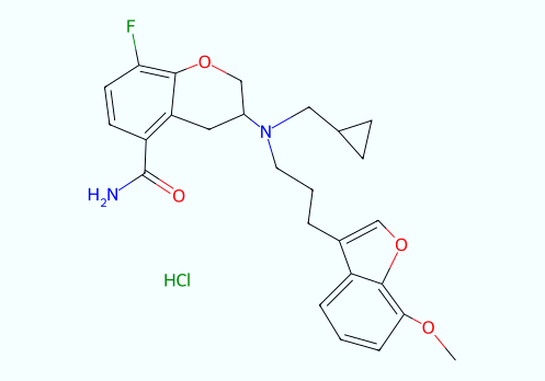 COc1cccc2c(CCCN(CC3CC3)C3COc4c(F)ccc(C(N)=O)c4C3)coc12.Cl